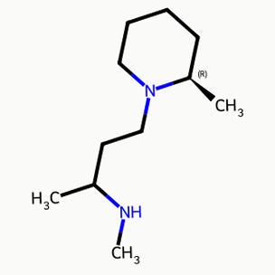 CNC(C)CCN1CCCC[C@H]1C